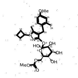 COC(=O)OC[C@H]1O[C@@](O)(Oc2nn(C3CCC3)c(C)c2Cc2ccc(OC)cc2F)[C@H](O)[C@@H](O)[C@@H]1O